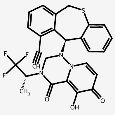 C#Cc1cccc2c1[C@H](N1CN([C@H](C)C(F)(F)F)C(=O)c3c(O)c(=O)ccn31)c1ccccc1SC2